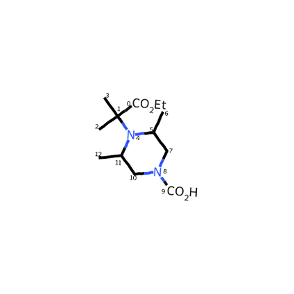 CCOC(=O)C(C)(C)N1C(C)CN(C(=O)O)CC1C